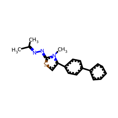 CC(C)=N/N=c1\scc(-c2ccc(-c3ccccc3)cc2)n1C